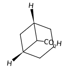 O=C(O)C1[C@@H]2CCC[C@H]1C2